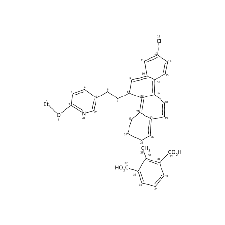 CCOc1ccc(CCC2C=c3cc(Cl)ccc3=c3ccc4c(c32)CCCC=4)cn1.Cc1c(C(=O)O)cccc1C(=O)O